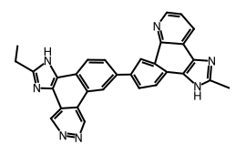 CCc1nc2c3cnncc3c3cc(-c4ccc5c(c4)c4ncccc4c4nc(C)[nH]c54)ccc3c2[nH]1